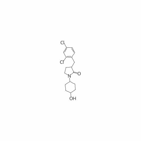 O=C1C(Cc2ccc(Cl)cc2Cl)CCN1C1CCC(O)CC1